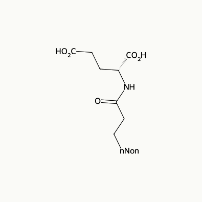 CCCCCCCCCCCC(=O)N[C@H](CCC(=O)O)C(=O)O